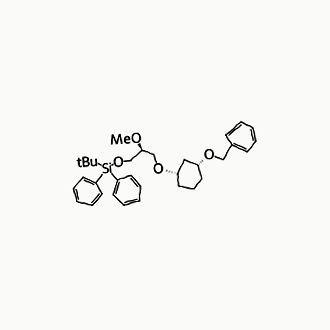 CO[C@@H](CO[C@H]1CCC[C@@H](OCc2ccccc2)C1)CO[Si](c1ccccc1)(c1ccccc1)C(C)(C)C